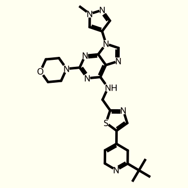 Cn1cc(-n2cnc3c(NCc4ncc(C5=CCN=C(C(C)(C)C)C5)s4)nc(N4CCOCC4)nc32)cn1